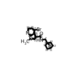 Cn1cc(C(=O)NCC23CCC(CC2)CC3)c2c(Br)ccnc21